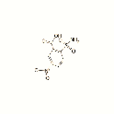 NS(=O)(=O)c1ccc([N+](=O)[O-])cc1C(=O)O